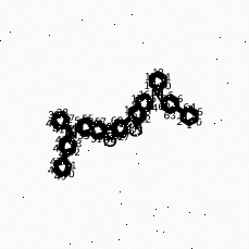 c1ccc(-c2ccc(N(c3ccccc3)c3ccc4cc5c(cc4c3)oc3cc4oc6cc7cc(N(c8ccccc8)c8ccc(-c9ccccc9)cc8)ccc7cc6c4cc35)cc2)cc1